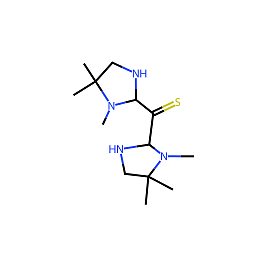 CN1C(C(=S)C2NCC(C)(C)N2C)NCC1(C)C